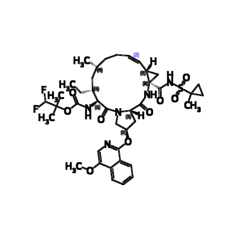 CC[C@@H]1C[C@H](C)CC/C=C\[C@@H]2C[C@@]2(C(=O)NS(=O)(=O)C2(C)CC2)NC(=O)[C@@H]2C[C@@H](Oc3ncc(OC)c4ccccc34)CN2C(=O)[C@H]1NC(=O)OC(C)(C)C(F)F